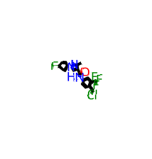 Cc1nn(-c2ccc(F)cc2)cc1C(=O)Nc1ccc(CCl)c(C(F)(F)F)c1